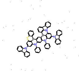 c1ccc(N2c3cc4c(cc3B3c5ccccc5Sc5cc(-n6c7ccccc7c7ccccc76)cc2c53)B2c3c(cc(-n5c6ccccc6c6ccccc65)cc3-n3c5ccccc5c5cccc2c53)N4c2ccccc2)cc1